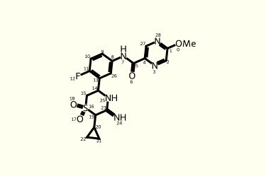 COc1cnc(C(=O)Nc2ccc(F)c(C3CS(=O)(=O)C(C4CC4)C(=N)N3)c2)cn1